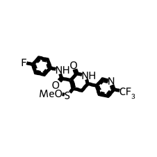 COSC1=C(C(=O)Nc2ccc(F)cc2)C(=O)NC(c2ccc(C(F)(F)F)nc2)C1